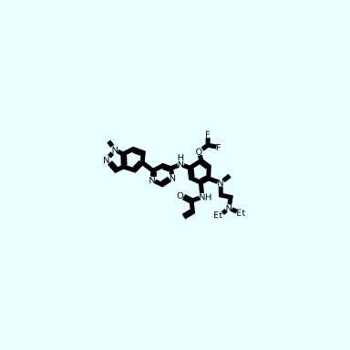 C=CC(=O)Nc1cc(Nc2cc(-c3ccc4c(cnn4C)c3)ncn2)c(OC(F)F)cc1N(C)CCN(CC)CC